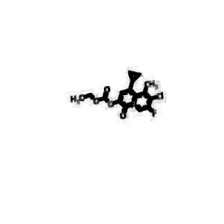 CCOC(=O)Oc1cc(C2CC2)c2c(C)c(Cl)c(F)cn2c1=O